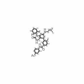 CC(=O)c1ccc(NC(=O)c2ccc(C)c(-c3nc(NCCN(C)C)nc4c3CNC(=O)N4c3c(F)cccc3F)c2)cc1